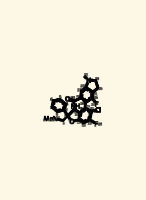 CNC[C@@]1(c2ccccc2)Cc2c(cc(F)c(Cl)c2-c2c(C(N)=O)cc3c(c2F)CCN3C)O1